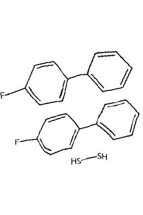 Fc1ccc(-c2ccccc2)cc1.Fc1ccc(-c2ccccc2)cc1.SS